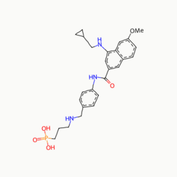 COc1ccc2cc(C(=O)Nc3ccc(CNCCCP(=O)(O)O)cc3)cc(NCC3CC3)c2c1